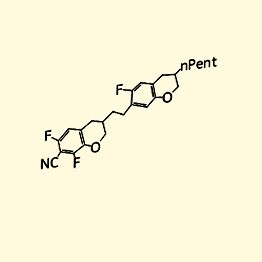 CCCCCC1COc2cc(CCC3COc4c(cc(F)c(C#N)c4F)C3)c(F)cc2C1